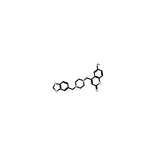 CC(C)c1ccc2oc(=O)cc(CN3CCN(Cc4ccc5c(c4)OCO5)CC3)c2c1